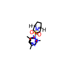 Cc1cnn(C)c1S(=O)(=O)N1[C@@H]2CC[C@H]1C[C@H](N1CCC(C)CC1)C2